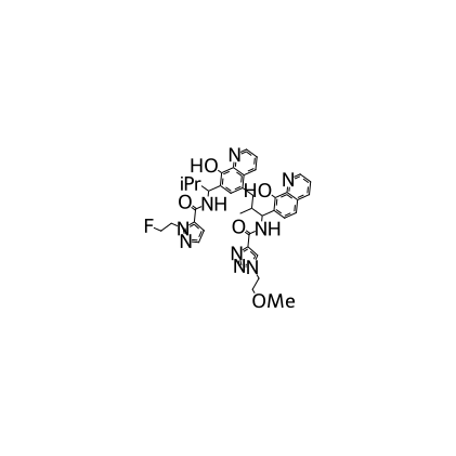 COCCn1cc(C(=O)NC(c2ccc3cccnc3c2O)C(C)Cc2cc(C(NC(=O)c3ccnn3CCF)C(C)C)c(O)c3ncccc23)nn1